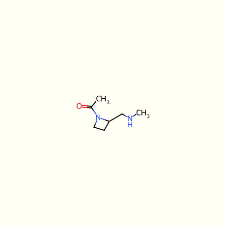 CNCC1CCN1C(C)=O